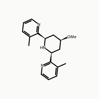 CO[C@H]1C[C@@H](c2ncccc2C)N[C@@H](c2ncccc2C)C1